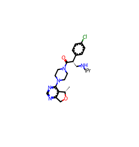 CC(C)NC[C@H](C(=O)N1CCN(c2ncnc3c2[C@H](C)OC3)CC1)c1ccc(Cl)cc1